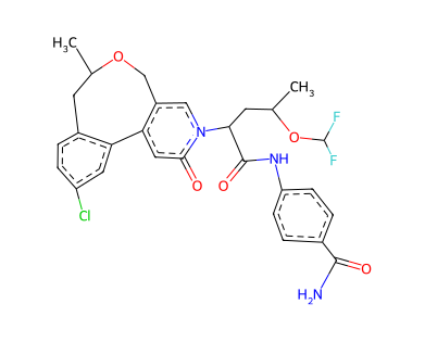 CC1Cc2ccc(Cl)cc2-c2cc(=O)n(C(CC(C)OC(F)F)C(=O)Nc3ccc(C(N)=O)cc3)cc2CO1